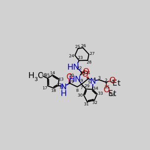 CCOC(CN1C(=O)C(CC(=O)Nc2ccc(C)cc2)(NC(=O)NC2CCCCC2)c2ccccc21)OCC